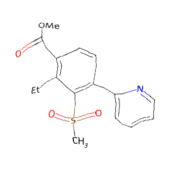 CCc1c(C(=O)OC)ccc(-c2ccccn2)c1S(C)(=O)=O